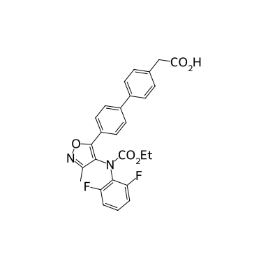 CCOC(=O)N(c1c(F)cccc1F)c1c(C)noc1-c1ccc(-c2ccc(CC(=O)O)cc2)cc1